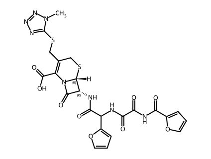 Cn1nnnc1SCC1=C(C(=O)O)N2C(=O)[C@@H](NC(=O)C(NC(=O)C(=O)NC(=O)c3ccco3)c3ccco3)[C@H]2SC1